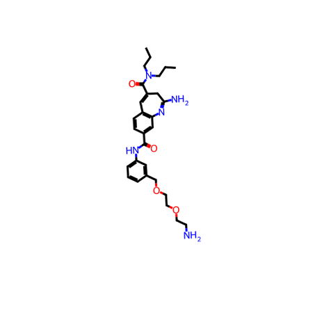 CCCN(CCC)C(=O)C1=Cc2ccc(C(=O)Nc3cccc(COCCOCCN)c3)cc2N=C(N)C1